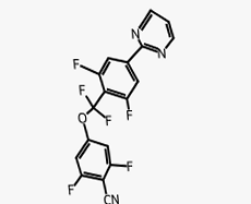 N#Cc1c(F)cc(OC(F)(F)c2c(F)cc(-c3ncccn3)cc2F)cc1F